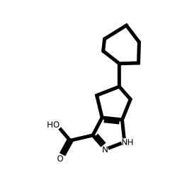 O=C(O)c1n[nH]c2c1CC(C1CCCCC1)C2